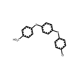 O=C(O)c1ccc(Sc2ccc(Sc3ccc(Cl)cc3)cc2)cc1